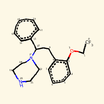 FC(F)(F)COc1ccccc1CC(c1ccccc1)N1CCNCC1